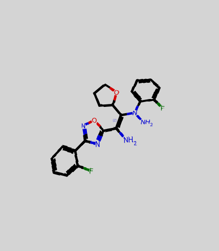 N/C(=C(/C1CCCO1)N(N)c1ccccc1F)c1nc(-c2ccccc2F)no1